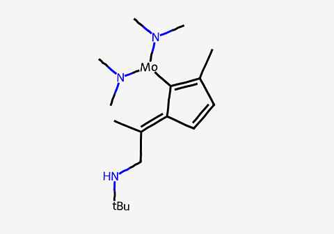 CC1=[C]([Mo]([N](C)C)[N](C)C)C(=C(C)CNC(C)(C)C)C=C1